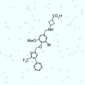 COc1cc(CNC2CC(C(=O)O)C2)cc(Br)c1OCc1cc(-c2ccccc2)c(C(F)(F)F)s1